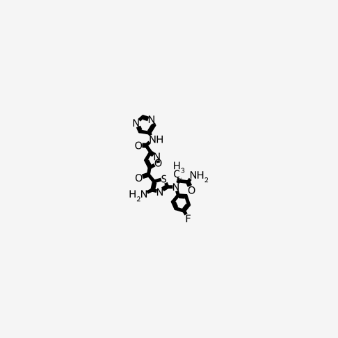 C[C@H](C(N)=O)N(c1ccc(F)cc1)c1nc(N)c(C(=O)c2cc(C(=O)Nc3cncnc3)no2)s1